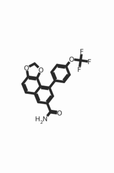 NC(=O)c1cc(-c2ccc(OC(F)(F)F)cc2)c2c3c(ccc2c1)OCO3